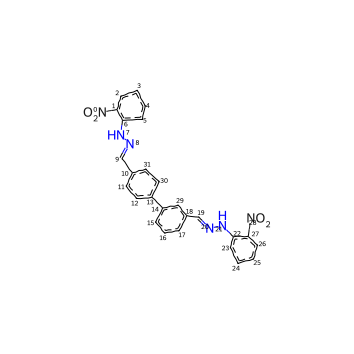 O=[N+]([O-])c1ccccc1N/N=C/c1ccc(-c2cccc(/C=N/Nc3ccccc3[N+](=O)[O-])c2)cc1